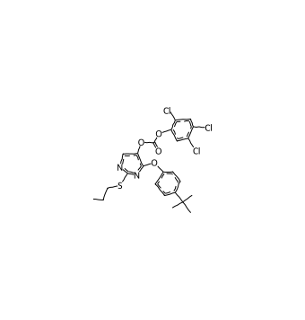 CCCSc1ncc(OC(=O)Oc2cc(Cl)c(Cl)cc2Cl)c(Oc2ccc(C(C)(C)C)cc2)n1